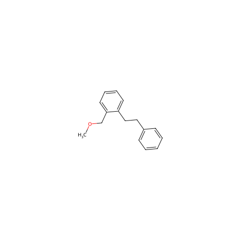 COCc1ccccc1CCc1ccccc1